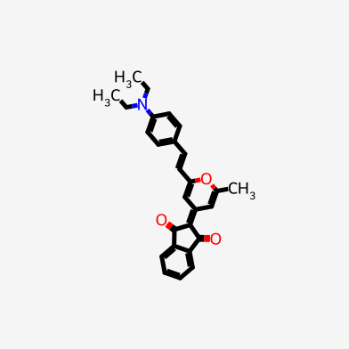 CCN(CC)c1ccc(C=CC2=CC(=C3C(=O)c4ccccc4C3=O)C=C(C)O2)cc1